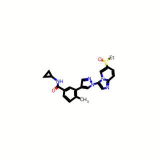 CC[S+]([O-])c1ccc2ncc(-n3cc(-c4cc(C(=O)NC5CC5)ccc4C)cn3)n2c1